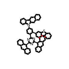 c1ccc2cc3c(cc2c1)c1ccccc1n3-c1ccc(-c2nc(-c3c4ccccc4cc4ccccc34)nc(-c3c4ccccc4cc4ccccc34)n2)c(-c2ccc3c(c2)sc2ccccc23)c1